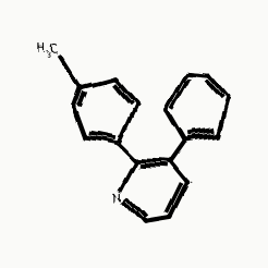 Cc1ccc(-c2ncc[c]c2-c2ccccc2)cc1